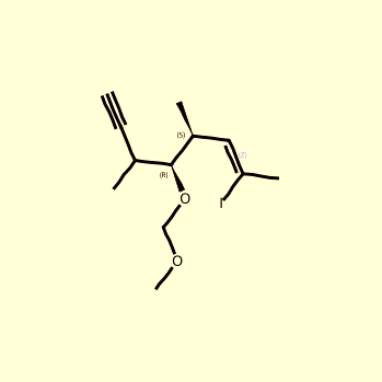 C#CC(C)[C@H](OCOC)[C@@H](C)/C=C(/C)I